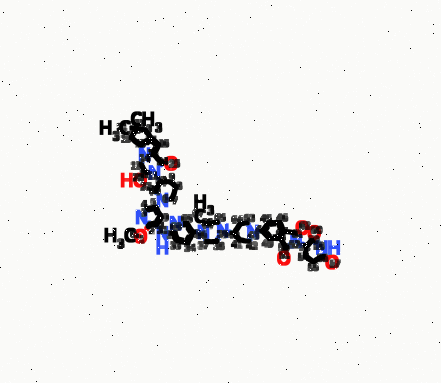 COc1ncc(N2CCC[C@H](N3CCn4c(cc5c4CC(C)(C)C5)C3=O)[C@H]2CO)cc1Nc1ccc(N2CCN(C3CCN(c4ccc5c(c4)C(=O)N(C4CCC(=O)NC4=O)C5=O)CC3)C[C@@H]2C)cn1